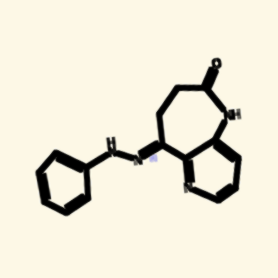 O=C1CC/C(=N\Nc2ccccc2)c2ncccc2N1